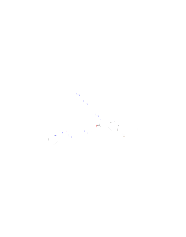 Cc1ccc(C[C@@H](OC(=O)N2CCC(N3CCc4ccccc4NC3=O)CC2)C(=O)N2CCC(N3CCNCC3)CC2)cc1Br